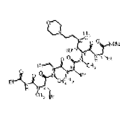 CCC(=O)NC(=O)N(C)[C@@H](CC(C)C)C(=O)N(C)[C@@H](CC(C)C)C(=O)N(C)[C@H](C(=O)N(C)[C@H](C(=O)N[C@@H](CC)C(=O)NC)[C@H](O)[C@H](C)CCN1CCOCC1)C(C)C